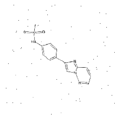 CS(=O)(=O)Nc1ccc(-c2cn3ncccc3n2)cc1